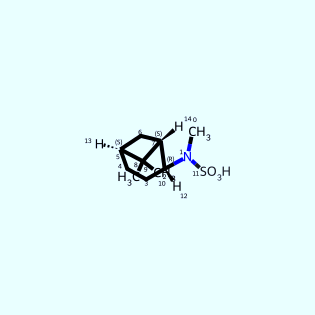 CN([C@@H]1CC[C@H]2C[C@H]1C2(C)C)S(=O)(=O)O